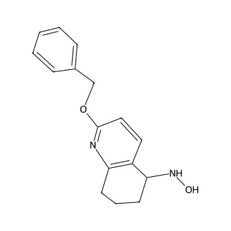 ONC1CCCc2nc(OCc3ccccc3)ccc21